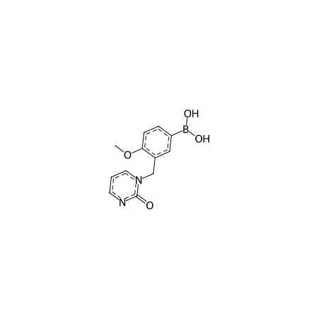 COc1ccc(B(O)O)cc1Cn1cccnc1=O